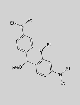 CCOc1cc(N(CC)CC)ccc1C(OC)c1ccc(N(CC)CC)cc1